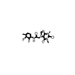 Cc1ccc(NC(=O)Cn2cnc3c2c(=O)n(C)c(=O)n3C)c(F)c1F